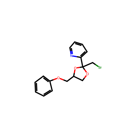 BrCC1(c2ccccn2)OCC(COc2ccccc2)O1